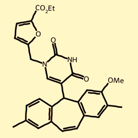 CCOC(=O)c1ccc(Cn2cc(C3c4ccc(C)cc4C=Cc4cc(C)c(OC)cc43)c(=O)[nH]c2=O)o1